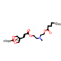 CCCCCCCCCCCCCC(=O)OCCN(C)CCOC(=O)C=CC12COC(CCCCCCC)(OC1)OC2